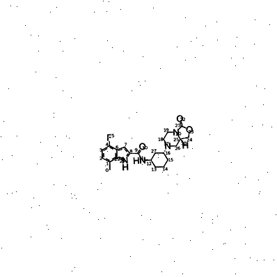 Cc1ccc(F)c2cc(C(=O)N[C@@H]3CCC[C@@H](N4CCN5C(=O)OC[C@@H]5C4)C3)[nH]c12